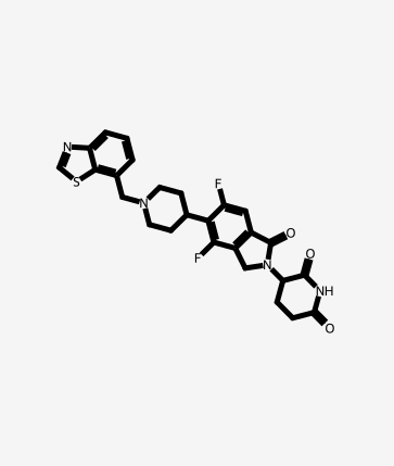 O=C1CCC(N2Cc3c(cc(F)c(C4CCN(Cc5cccc6ncsc56)CC4)c3F)C2=O)C(=O)N1